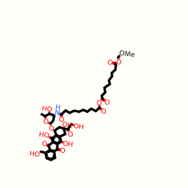 COCOC(=O)CCCCCCCCC(=O)OC(=O)CCCCCCCCC(=O)NC1C[C@H](O[C@H]2C[C@@](O)(C(=O)CO)Cc3c(O)c4c(c(O)c32)C(=O)c2c(CO)cccc2C4=O)OC(C)C1O